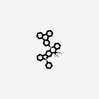 CC1(C)c2ccccc2N(c2ccc3c4ccccc4c4ccccc4c3c2)c2cc3c4ccccc4n(-c4ccccc4)c3cc21